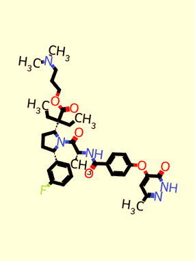 CCC(CC)(C(=O)OCCCN(C)C)[C@H]1CC[C@@H](c2cccc(F)c2)N1C(=O)[C@@H](C)NC(=O)c1ccc(Oc2cc(C)n[nH]c2=O)cc1